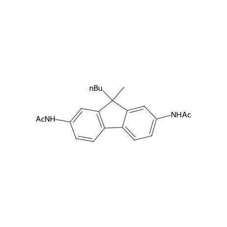 CCCCC1(C)c2cc(NC(C)=O)ccc2-c2ccc(NC(C)=O)cc21